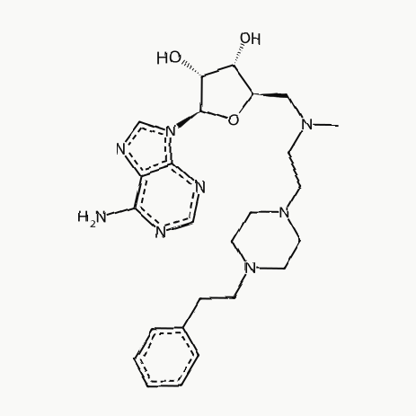 CN(CCN1CCN(CCc2ccccc2)CC1)C[C@H]1O[C@@H](n2cnc3c(N)ncnc32)[C@H](O)[C@@H]1O